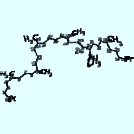 CC(C)CCCC(C)CCCC(C)CCCC(C)C[CH]CCC(C)CCCC(C)CCCC(C)CCCC(C)C